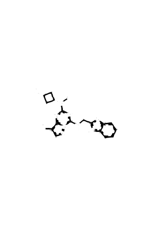 CN(c1nc(NCc2nc3ccccc3[nH]2)n2ncc(Br)c2n1)[C@H]1C[C@@H](O)C1